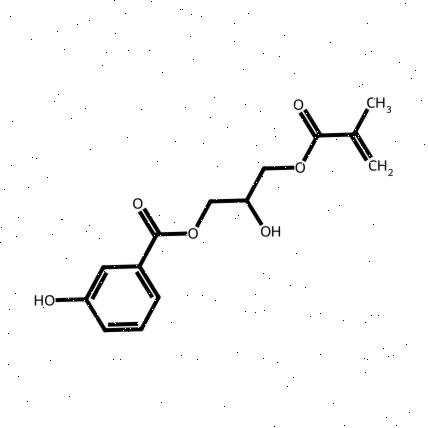 C=C(C)C(=O)OCC(O)COC(=O)c1cccc(O)c1